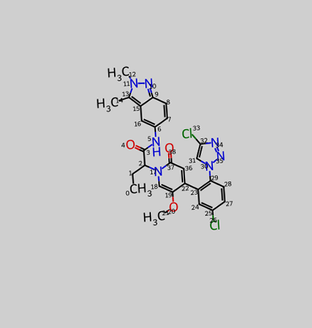 CCC(C(=O)Nc1ccc2nn(C)c(C)c2c1)n1cc(OC)c(-c2cc(Cl)ccc2-n2cc(Cl)nn2)cc1=O